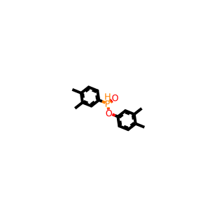 Cc1ccc(O[PH](=O)c2ccc(C)c(C)c2)cc1C